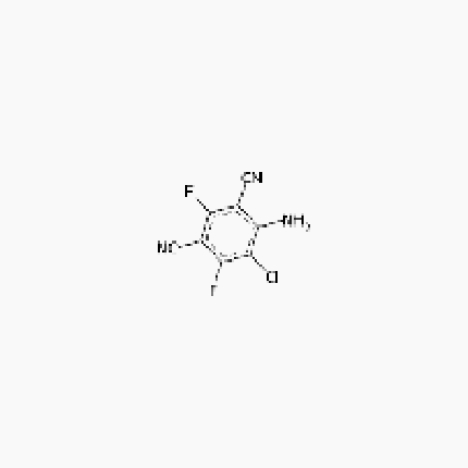 N#Cc1c(N)c(Cl)c(F)c(C#N)c1F